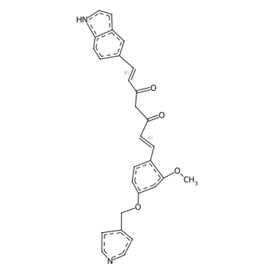 COc1cc(OCc2ccncc2)ccc1/C=C/C(=O)CC(=O)/C=C/c1ccc2[nH]ccc2c1